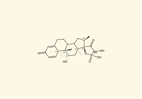 C[C@@H]1CC2C3CCC4=CC(=O)C=C[C@]4(C)[C@@]3(F)[C@@H](O)C[C@]2(C)[C@@]1(OP(=O)(O)O)C(=O)CO